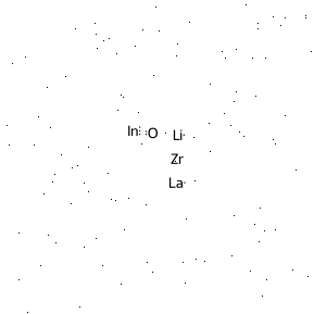 [In].[La].[Li].[O].[Zr]